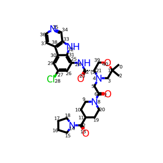 CC1(C)CN(CC(=O)N2CCC(C(=O)N3CCCC3)CC2)[C@H](C(=O)Nc2cc(Cl)cc3c2[nH]c2cnccc23)CO1